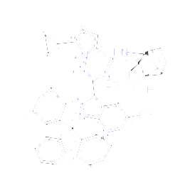 CCOC(=O)[C@@H]1C2CCC(CC2)[C@H]1Nc1nc(-c2nn(C(c3ccccc3)(c3ccccc3)c3ccccc3)c3ncc(F)cc23)nn2c(C3CC3)ccc12